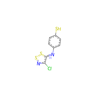 Sc1ccc(/N=c2\ssnc2Cl)cc1